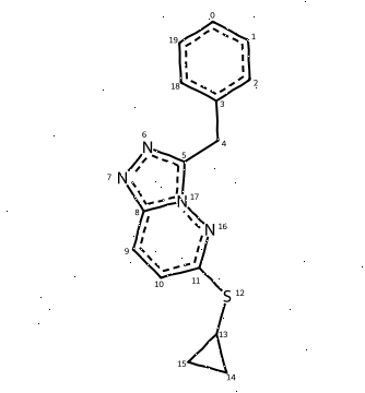 c1ccc(Cc2nnc3ccc(SC4CC4)nn23)cc1